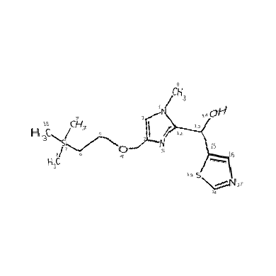 Cn1cc(OCC[Si](C)(C)C)nc1C(O)c1cncs1